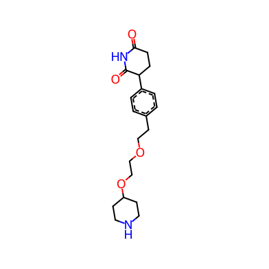 O=C1CCC(c2ccc(CCOCCOC3CCNCC3)cc2)C(=O)N1